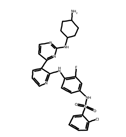 NC1CCC(Nc2nccc(-c3cccnc3Nc3ccc(NS(=O)(=O)c4ccccc4Cl)cc3F)n2)CC1